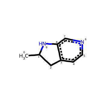 CC1Cc2ccncc2N1